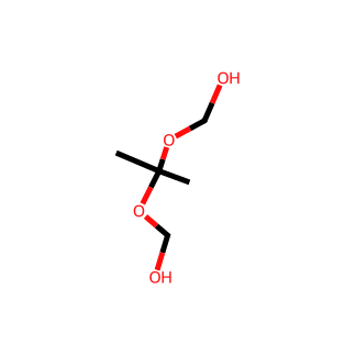 CC(C)(OCO)OCO